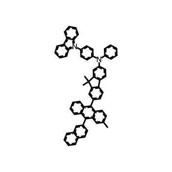 Cc1ccc2c(-c3ccc4c(c3)C(C)(C)c3cc(N(c5ccccc5)c5ccc(-n6c7ccccc7c7ccccc76)cc5)ccc3-4)c3ccccc3c(-c3ccc4ccccc4c3)c2c1